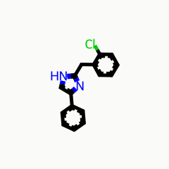 Clc1ccccc1Cc1nc(-c2ccccc2)c[nH]1